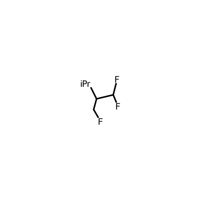 CC(C)C(CF)C(F)F